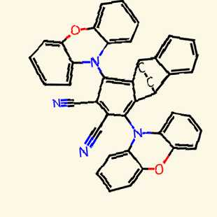 N#Cc1c(C#N)c(N2c3ccccc3Oc3ccccc32)c2c(c1N1c3ccccc3Oc3ccccc31)C1CCC2c2ccccc21